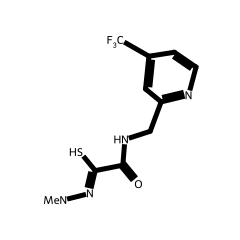 CN/N=C(\S)C(=O)NCc1cc(C(F)(F)F)ccn1